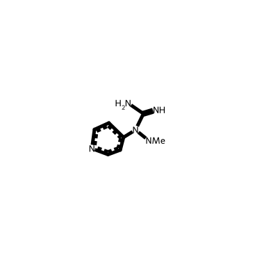 CNN(C(=N)N)c1ccncc1